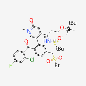 CCS(=O)(=O)Cc1ccc(C(=O)c2ccc(F)cc2Cl)c(-c2cn(C)c(=O)cc2[C@H](CCO[Si](C)(C)C(C)(C)C)N[S@@+]([O-])C(C)(C)C)c1